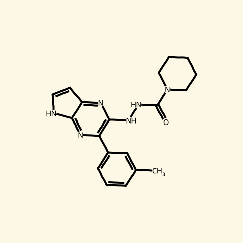 Cc1cccc(-c2nc3[nH]ccc3nc2NNC(=O)N2CCCCC2)c1